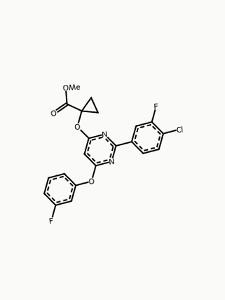 COC(=O)C1(Oc2cc(Oc3cccc(F)c3)nc(-c3ccc(Cl)c(F)c3)n2)CC1